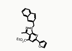 CCOC(=O)c1cc(-c2ccco2)nc2c1c(C)nn2Cc1ccc2ccccc2c1